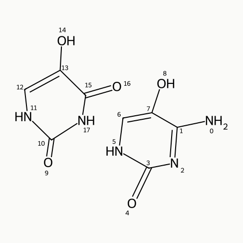 Nc1nc(=O)[nH]cc1O.O=c1[nH]cc(O)c(=O)[nH]1